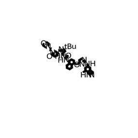 Cc1cc(Nc2nccc(Oc3ccc(NC(=O)Nc4cc(C(C)(C)C)nn4-c4ccc(=O)n(CCN5CCOCC5)c4)c4ccccc34)n2)cc2cn[nH]c12